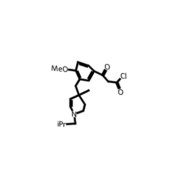 COc1ccc(C(=O)CC(=O)Cl)cc1CC1(C)C=CN(CC(C)C)CC1